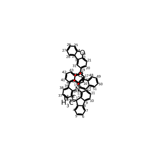 CC1(C)c2ccccc2-c2cccc(N(c3ccc(-c4ccc5oc6ccccc6c5c4)cc3)c3ccccc3-c3cccc4oc5c6ccccc6ccc5c34)c21